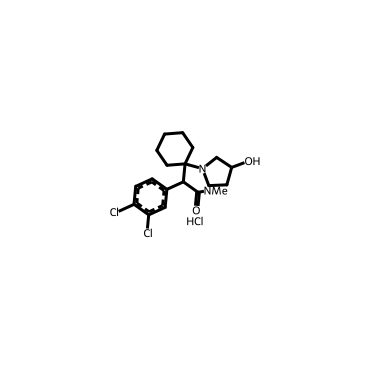 CNC(=O)C(c1ccc(Cl)c(Cl)c1)C1(N2CCC(O)C2)CCCCC1.Cl